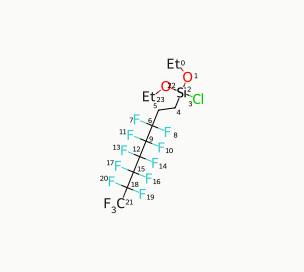 CCO[Si](Cl)(CCC(F)(F)C(F)(F)C(F)(F)C(F)(F)C(F)(F)C(F)(F)F)OCC